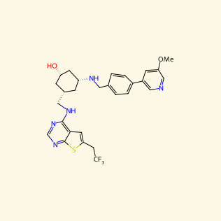 COc1cncc(-c2ccc(CN[C@H]3C[C@@H](O)C[C@@H](CNc4ncnc5sc(CC(F)(F)F)cc45)C3)cc2)c1